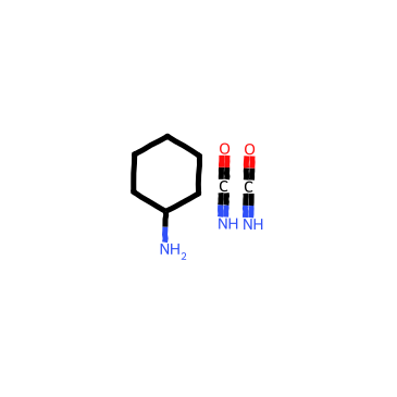 N=C=O.N=C=O.NC1CCCCC1